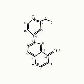 CCc1cc(-c2ccc3[nH]ccc(=O)c3c2)ccn1